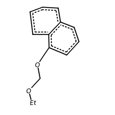 CCOCOc1cccc2ccccc12